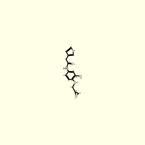 O=C(Cc1ccsc1)Nc1ccc(OCC2CO2)c(Cl)c1